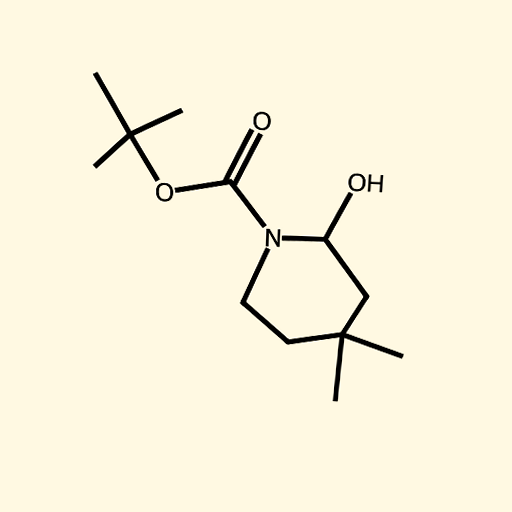 CC1(C)CCN(C(=O)OC(C)(C)C)C(O)C1